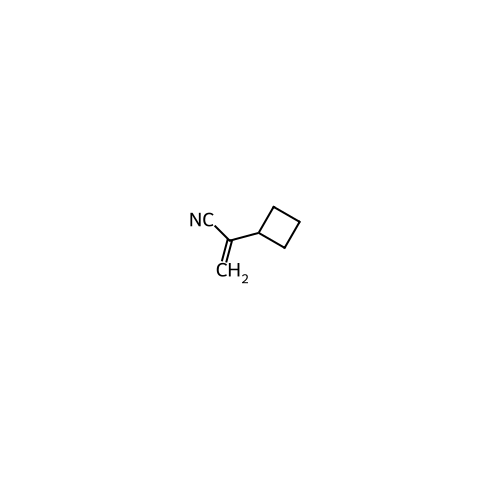 C=C(C#N)C1CCC1